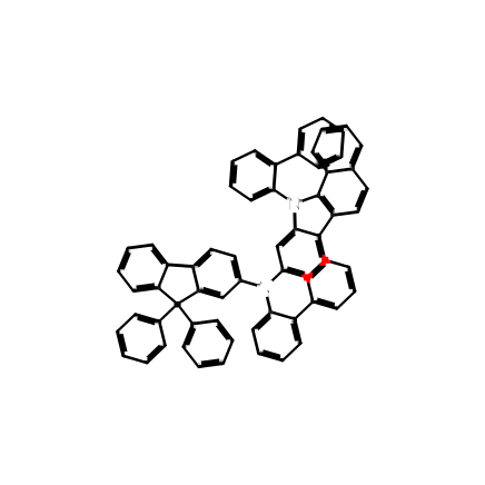 C1=CC(c2ccccc2-n2c3cc(N(c4ccc5c(c4)C(c4ccccc4)(c4ccccc4)c4ccccc4-5)c4ccccc4-c4ccccc4)ccc3c3ccc4ccccc4c32)=CCC1